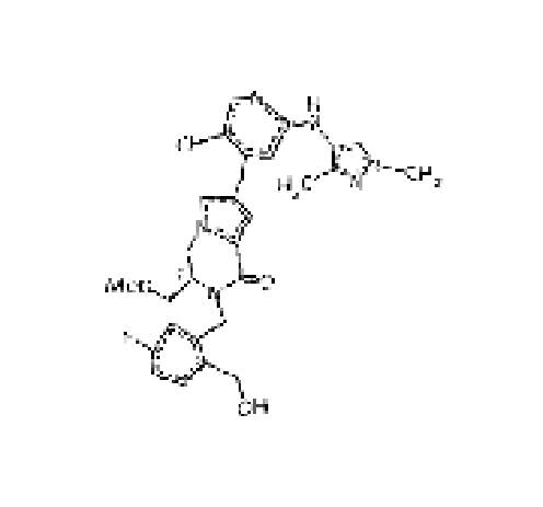 COC[C@H]1Cn2cc(-c3cc(Nc4cn(C)nc4C)ncc3Cl)cc2C(=O)N1Cc1cc(F)ccc1CO